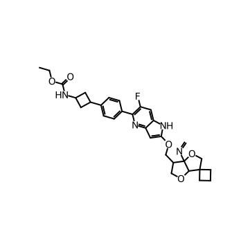 C=NC12OCC3(CCC3)C1OCC2COc1cc2nc(-c3ccc(C4CC(NC(=O)OCC)C4)cc3)c(F)cc2[nH]1